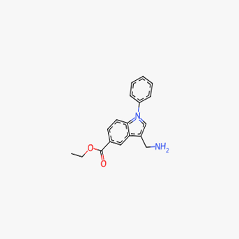 CCOC(=O)c1ccc2c(c1)c(CN)cn2-c1ccccc1